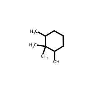 CC1CCCC(O)C1(C)C